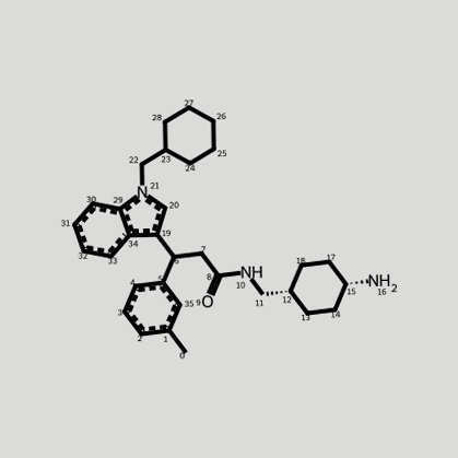 Cc1cccc(C(CC(=O)NC[C@H]2CC[C@@H](N)CC2)c2cn(CC3CCCCC3)c3ccccc23)c1